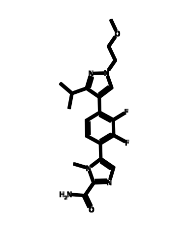 COCCn1cc(-c2ccc(-c3cnc(C(N)=O)n3C)c(F)c2F)c(C(C)C)n1